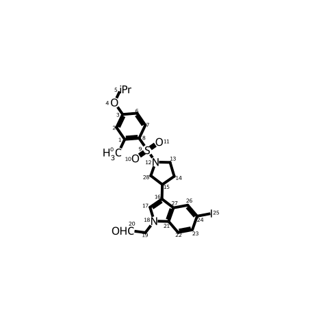 Cc1cc(OC(C)C)ccc1S(=O)(=O)N1CCC(c2cn(CC=O)c3ccc(I)cc23)C1